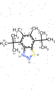 Cc1c(C)c(C(C)(C)C)c2snnc2c1C(C)(C)C